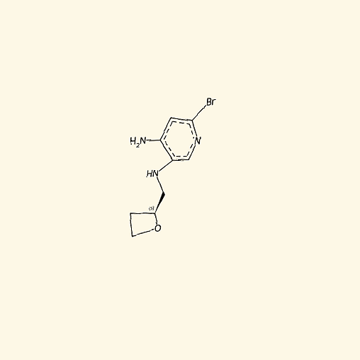 Nc1cc(Br)ncc1NC[C@@H]1CCO1